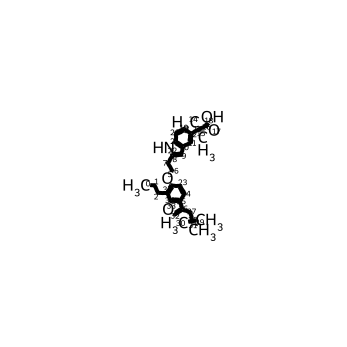 CCCc1c(OCCc2cc3cc(C(C)(C)C(=O)O)ccc3[nH]2)ccc2c(CC(C)(C)C)coc12